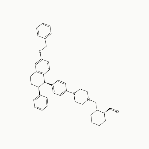 O=C[C@H]1CCCC[C@@H]1CN1CCN(c2ccc([C@@H]3c4ccc(OCc5ccccc5)cc4CC[C@@H]3c3ccccc3)cc2)CC1